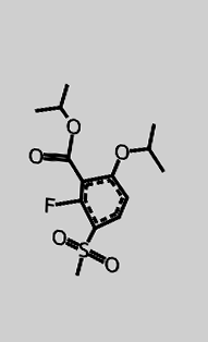 CC(C)OC(=O)c1c(OC(C)C)ccc(S(C)(=O)=O)c1F